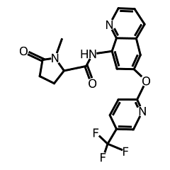 CN1C(=O)CCC1C(=O)Nc1cc(Oc2ccc(C(F)(F)F)cn2)cc2cccnc12